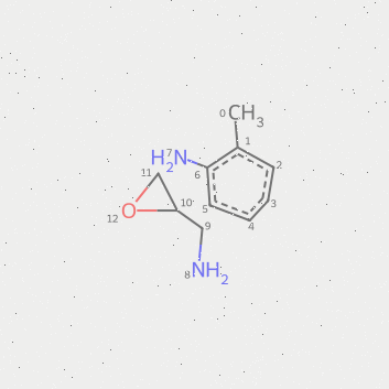 Cc1ccccc1N.NCC1CO1